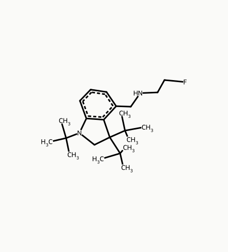 CC(C)(C)N1CC(C(C)(C)C)(C(C)(C)C)c2c(CNCCF)cccc21